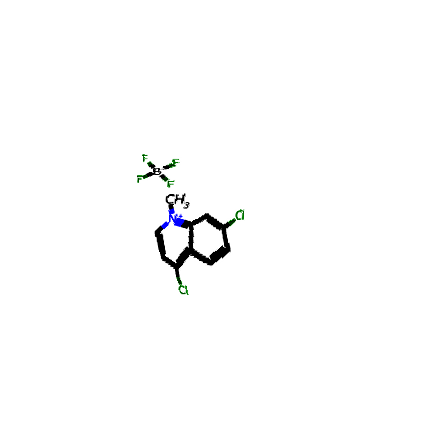 C[n+]1ccc(Cl)c2ccc(Cl)cc21.F[B-](F)(F)F